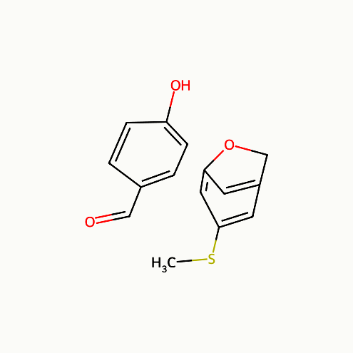 CSc1cc2cc(c1)OC2.O=Cc1ccc(O)cc1